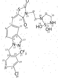 O=C1SC(=Cc2ccc3c(cnn3Cc3ccc(Cl)cc3C(F)(F)F)c2)C(=O)N1CCN1CCNS1(O)O